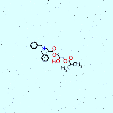 C=C(C)C(=O)OCC(O)COC(=O)CCN(Cc1ccccc1)Cc1ccccc1